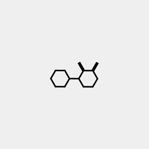 C=C1CCCC(C2CCCCC2)C1=C